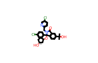 CC(C)(O)c1ccc2c(c1)C(=O)N(Cc1ccc(Cl)cn1)[C@@]2(O[C@@H]1CC[C@H](O)C1)c1ccc(Cl)cc1